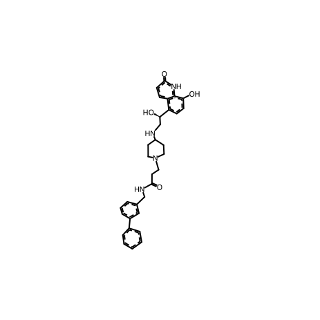 O=C(CCN1CCC(NC[C@@H](O)c2ccc(O)c3[nH]c(=O)ccc23)CC1)NCc1cccc(-c2ccccc2)c1